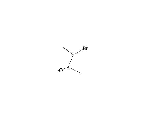 CC([O])C(C)Br